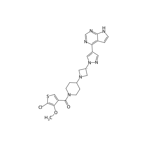 COc1c(C(=O)N2CCC(N3C[C](n4cc(-c5ncnc6[nH]ccc56)cn4)C3)CC2)csc1Cl